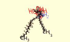 CCCCCCCCCCCCCCCCCCN(C(=O)CCCCCCCCCCC)[C@@H]1O[C@H](CO)[C@@H](O)[C@H](O)[C@H]1N